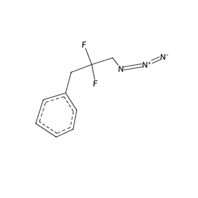 [N-]=[N+]=NCC(F)(F)Cc1ccccc1